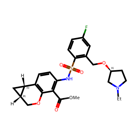 CCN1CC[C@H](OCc2cc(F)ccc2S(=O)(=O)Nc2ccc3c(c2C(=O)OC)OC[C@@H]2C[C@H]32)C1